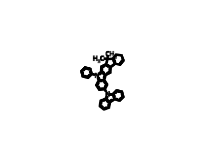 CC1(C)C2=C(C=CCC2)c2cc3c4cc(-n5c6ccccc6c6ccccc65)ccc4n(-c4ccccc4)c3cc21